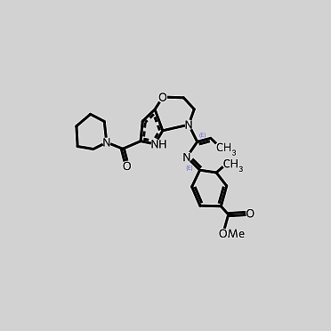 C/C=C(\N=C1\C=CC(C(=O)OC)=CC1C)N1CCOc2cc(C(=O)N3CCCCC3)[nH]c21